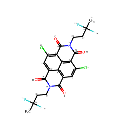 O=C1c2cc(Cl)c3c4c(c(Cl)cc(c24)C(=O)N1CCC(F)(F)C(F)(F)F)C(=O)N(CCC(F)(F)C(F)(F)F)C3=O